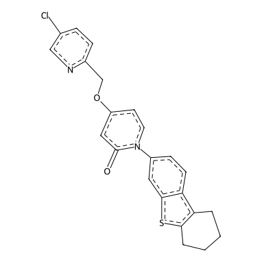 O=c1cc(OCc2ccc(Cl)cn2)ccn1-c1ccc2c3c(sc2c1)CCCC3